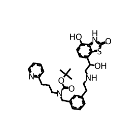 CC(C)(C)OC(=O)N(CCCc1ccccn1)Cc1cccc(CCNCC(O)c2ccc(O)c3[nH]c(=O)sc23)c1